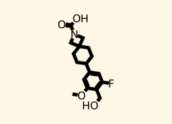 COc1cc(C2CCC3(CC2)CN(C(=O)O)C3)cc(F)c1CO